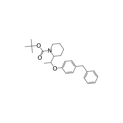 CC(Oc1ccc(Cc2ccccc2)cc1)C1CCCCN1C(=O)OC(C)(C)C